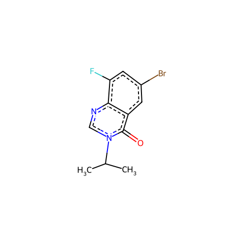 CC(C)n1cnc2c(F)cc(Br)cc2c1=O